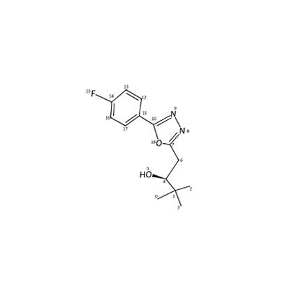 CC(C)(C)[C@@H](O)Cc1nnc(-c2ccc(F)cc2)o1